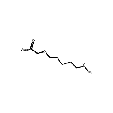 CC(C)C(=O)COCCCCCNC(C)(C)C